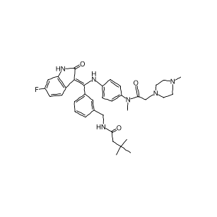 CN1CCN(CC(=O)N(C)c2ccc(N/C(=C3\C(=O)Nc4cc(F)ccc43)c3cccc(CNC(=O)CC(C)(C)C)c3)cc2)CC1